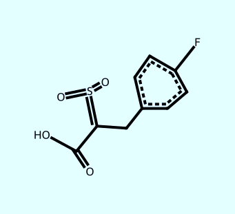 O=C(O)C(Cc1ccc(F)cc1)=S(=O)=O